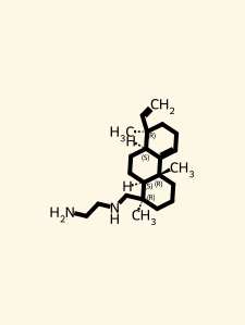 C=C[C@@]1(C)CCC=C2[C@H]1CC[C@@H]1[C@](C)(CNCCN)CCC[C@@]21C